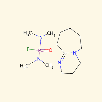 C1CCC2=NCCCN2CC1.CN(C)P(=O)(F)N(C)C